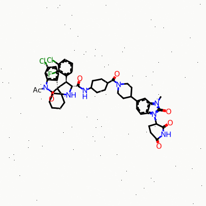 CC(=O)N1C(=O)[C@@]2(c3ccc(Cl)cc31)[C@@H](c1cccc(Cl)c1F)[C@H](C(=O)NC1CCC(C(=O)N3CCC(c4ccc5c(c4)n(C)c(=O)n5C4CCC(=O)NC4=O)CC3)CC1)NC21CCCCC1